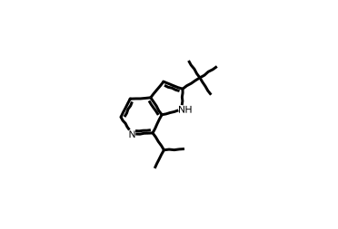 CC(C)c1nccc2cc(C(C)(C)C)[nH]c12